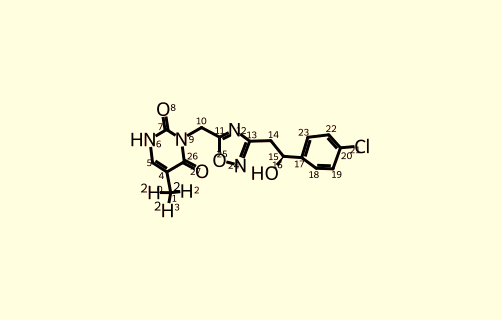 [2H]C([2H])([2H])c1c[nH]c(=O)n(Cc2nc(C[C@H](O)c3ccc(Cl)cc3)no2)c1=O